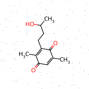 CC1=CC(=O)C(C)=C(CCC(C)O)C1=O